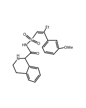 CCC(=CS(=O)(=O)NC(=O)C1NCCc2ccccc21)c1cccc(OC)c1